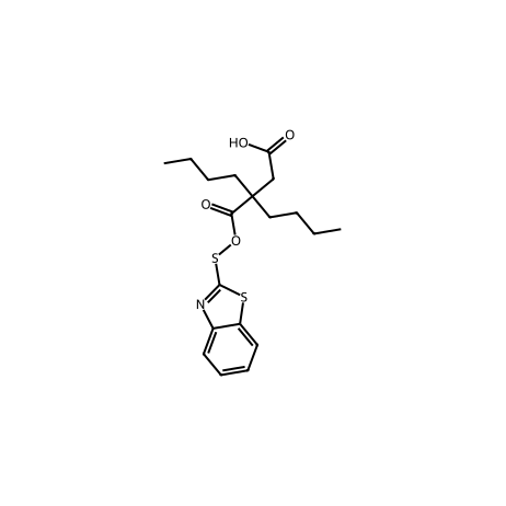 CCCCC(CCCC)(CC(=O)O)C(=O)OSc1nc2ccccc2s1